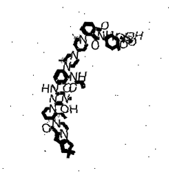 C=CC(=O)Nc1cc(Nc2nc(N3CCC[C@H](N4CCn5c(cc6c5CC(C)(C)C6)C4=O)[C@@H]3C(C)O)cn(C)c2=O)ccc1N1CCN(C2CCN(c3cccc4c3C(=O)N(C3CCC(C)(OP(=O)(O)O)CC3)C4=O)[C@@H](C)C2)C[C@@H]1C